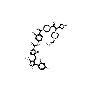 Nc1ccc(-c2[nH]nc(C(F)(F)F)c2Cc2cnc(C(=O)Nc3ccc(C(=O)N4CCN(C(=O)C(C5CNC5)N5CCN(CC(=O)O)CC5)CC4)c(Cl)c3)[nH]2)c(F)c1